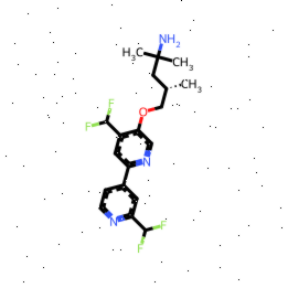 C[C@H](COc1cnc(-c2ccnc(C(F)F)c2)cc1C(F)F)CC(C)(C)N